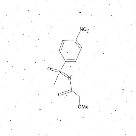 COCC(=O)N=S(C)(=O)c1ccc([N+](=O)[O-])cc1